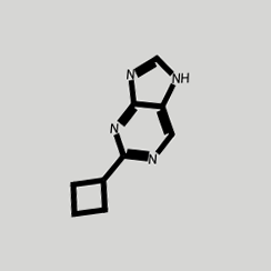 c1nc2nc(C3CCC3)ncc2[nH]1